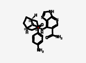 NC(=O)c1cnc2[nH]cnc2c1N[C@@H]1C[C@H]2CC[C@@H](C1)N2C(=O)c1ccc(N)cc1